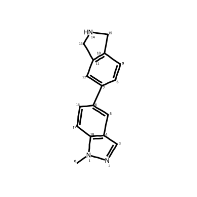 Cn1ncc2cc(-c3ccc4c(c3)CNC4)ccc21